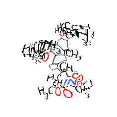 CC[C@H]1C(O[Si](C)(C)C(C)(C)C)C2C(CC[C@@]3(C)C2CC[C@@H]3[C@H](C)CCOP(=O)(N[C@@H](C)C(=O)COC(C)C)Oc2ccccc2)[C@@]2(C)CCC(O[Si](C)(C)C(C)(C)C)CC12